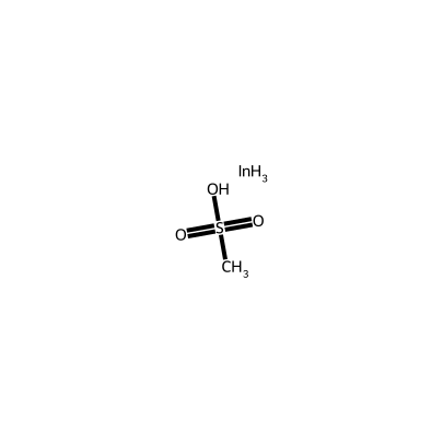 CS(=O)(=O)O.[InH3]